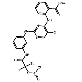 CCC(CC)(O[PH](=O)O)C(=O)Nc1cccc(Nc2ncc(Cl)c(Nc3ccccc3C(=O)NC)n2)c1